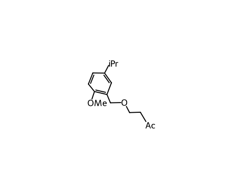 COc1ccc(C(C)C)cc1COCCC(C)=O